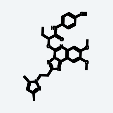 CCC(Oc1nc2cc(OC)c(OC)cc2c2nc(CCn3nc(C)cc3C)nn12)C(=O)Nc1ccc(O)cc1